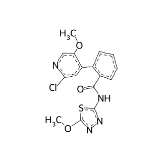 COc1nnc(NC(=O)c2ccccc2-c2cc(Cl)ncc2OC)s1